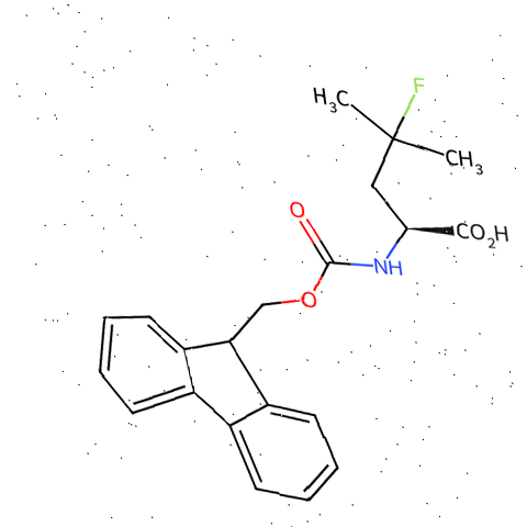 CC(C)(F)C[C@H](NC(=O)OCC1c2ccccc2-c2ccccc21)C(=O)O